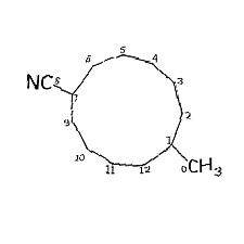 CC1CCCCCC(C#N)CCCC1